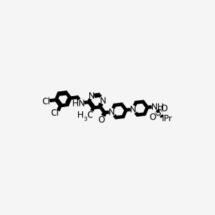 Cc1c(NCc2ccc(Cl)c(Cl)c2)ncnc1C(=O)N1CCC(N2CCC(NS(=O)(=O)C(C)C)CC2)CC1